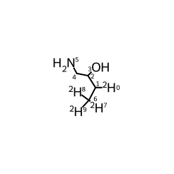 [2H]C(C(O)CN)C([2H])([2H])[2H]